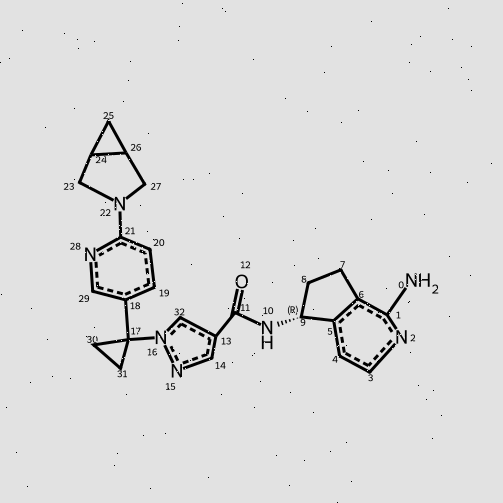 Nc1nccc2c1CC[C@H]2NC(=O)c1cnn(C2(c3ccc(N4CC5CC5C4)nc3)CC2)c1